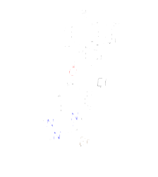 CCc1cn2c(Br)nnc2cc1OCC12CC3CC(CC(C3)C1)C2